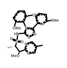 CNc1cccc(-c2nnc(NS(=O)(=O)[C@@H](C)[C@H](OC)c3ncc(C)cn3)n2-c2c(OC)cccc2OC)n1